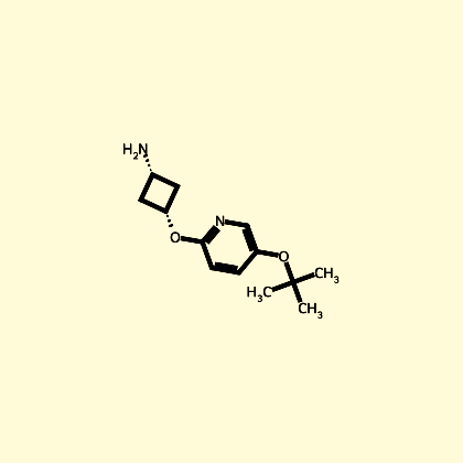 CC(C)(C)Oc1ccc(O[C@H]2C[C@@H](N)C2)nc1